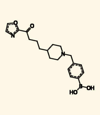 O=C(CCCC1CCN(Cc2ccc(B(O)O)cc2)CC1)c1ncco1